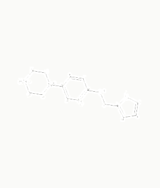 c1csc(COc2ccc(N3CCNCC3)cn2)c1